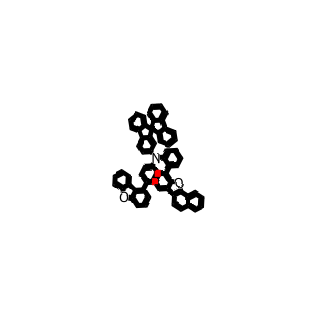 c1ccc(N(c2ccc(-c3cccc4oc5ccccc5c34)cc2)c2ccc3c(c2)C2(c4ccccc4-c4ccccc42)c2ccccc2-3)c(-c2cccc3c2oc2c4ccccc4ccc32)c1